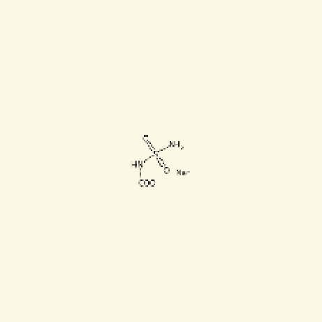 NS(=O)(=O)NC(=O)[O-].[Na+]